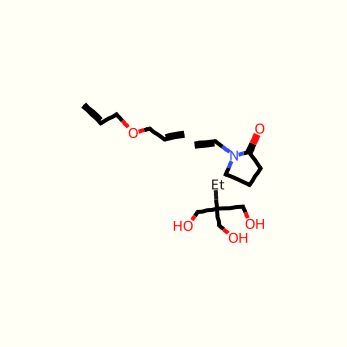 C=CCOCC=C.C=CN1CCCC1=O.CCC(CO)(CO)CO